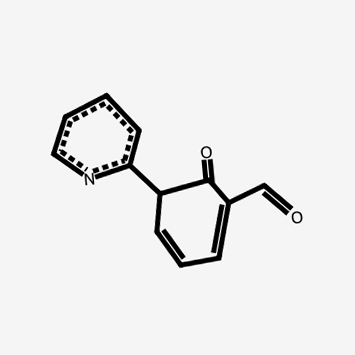 O=CC1=CC=CC(c2ccccn2)C1=O